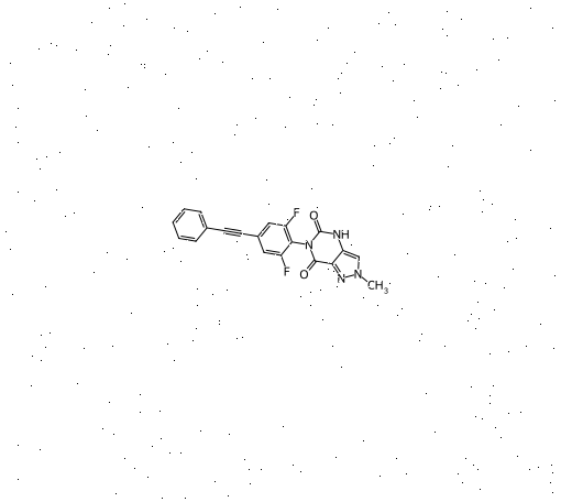 Cn1cc2[nH]c(=O)n(-c3c(F)cc(C#Cc4ccccc4)cc3F)c(=O)c2n1